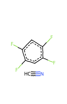 C#N.Fc1cc(F)c(F)cc1F